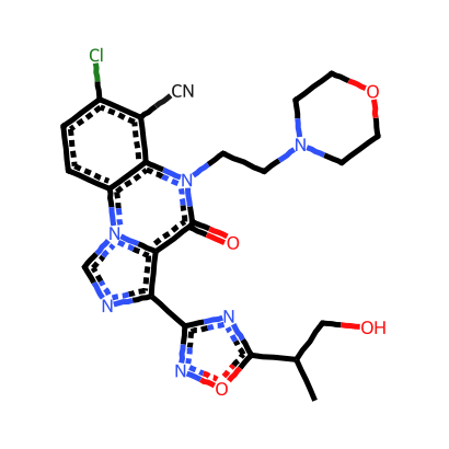 CC(CO)c1nc(-c2ncn3c2c(=O)n(CCN2CCOCC2)c2c(C#N)c(Cl)ccc23)no1